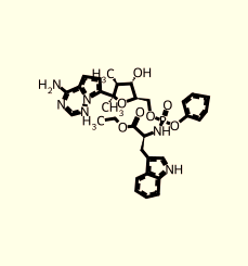 CCOC(=O)[C@H](Cc1c[nH]c2ccccc12)NP(=O)(OC[C@H]1O[C@@](C)(c2ccc3c(N)ncnn23)[C@@H](C)[C@@H]1O)Oc1ccccc1